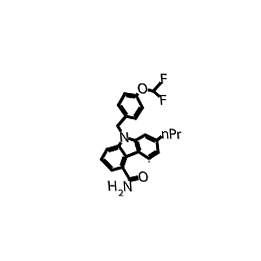 CCCc1c[c]c2c3c(C(N)=O)cccc3n(Cc3ccc(OC(F)F)cc3)c2c1